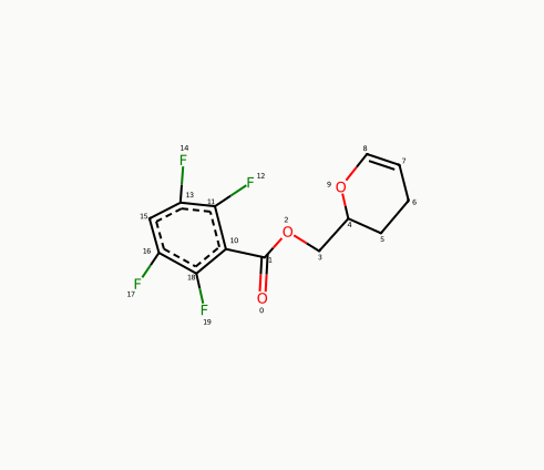 O=C(OCC1CCC=CO1)c1c(F)c(F)cc(F)c1F